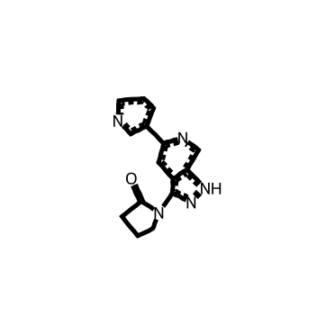 O=C1CCCN1c1n[nH]c2cnc(-c3cccnc3)cc12